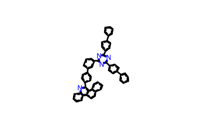 c1ccc(-c2ccc(-c3nc(-c4ccc(-c5ccccc5)cc4)nc(-c4cccc(-c5ccc(-c6nc7ccccc7c7ccc8ccccc8c67)cc5)c4)n3)cc2)cc1